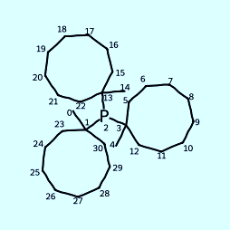 CC1(P(C2(C)CCCCCCCC2)C2(C)CCCCCCCC2)CCCCCCCC1